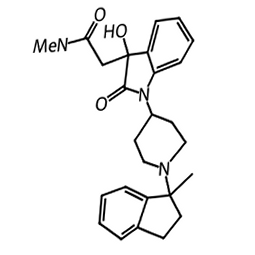 CNC(=O)CC1(O)C(=O)N(C2CCN(C3(C)CCc4ccccc43)CC2)c2ccccc21